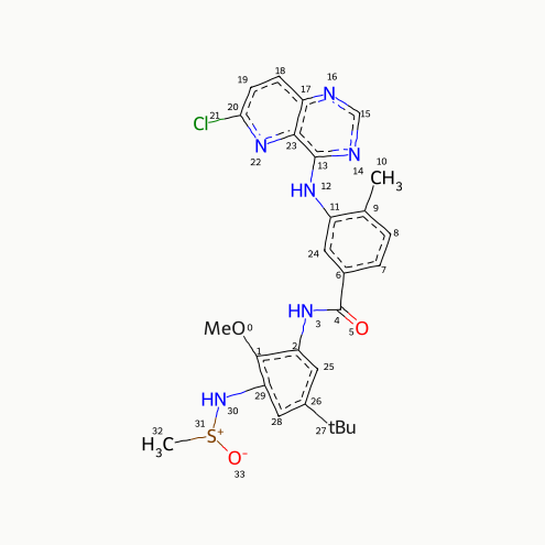 COc1c(NC(=O)c2ccc(C)c(Nc3ncnc4ccc(Cl)nc34)c2)cc(C(C)(C)C)cc1N[S+](C)[O-]